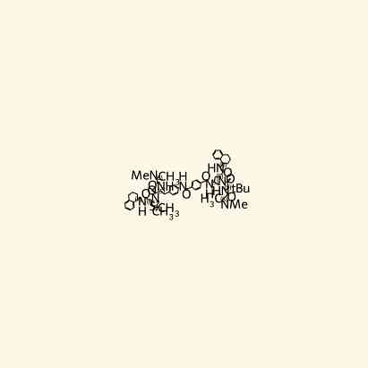 CN[C@@H](C)C(=O)N[C@@H](Cc1ccc(NC(=O)c2ccc(C(=O)N[C@H]3C[C@@H](C(=O)N[C@@H]4CCCc5ccccc54)N(C(=O)[C@@H](NC(=O)[C@H](C)NC)C(C)(C)C)C3)cc2)cc1)C(=O)N1C[Si](C)(C)C[C@H]1C(=O)N[C@@H]1CCCc2ccccc21